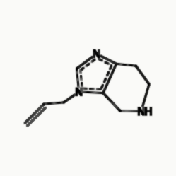 C=CCn1cnc2c1CNCC2